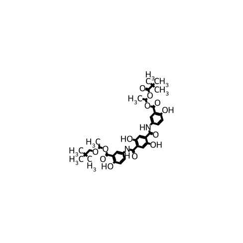 CC(OCC(C)(C)C)OC(=O)c1cc(NC(=O)c2cc(O)c(C(=O)Nc3ccc(O)c(C(=O)OC(C)OC(=O)C(C)(C)C)c3)cc2O)ccc1O